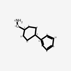 NOC1CCC(c2ccccc2)CC1